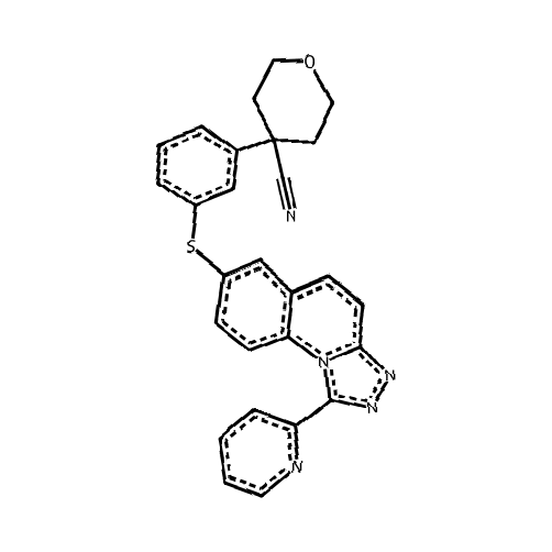 N#CC1(c2cccc(Sc3ccc4c(ccc5nnc(-c6ccccn6)n54)c3)c2)CCOCC1